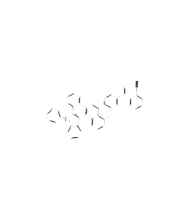 C#Cc1ccccc1/C(=C\C)c1ccc(-c2cc3c4ccccc4c4c(c5ccccc5n4-c4ccccc4)c3c3ccccc23)cc1